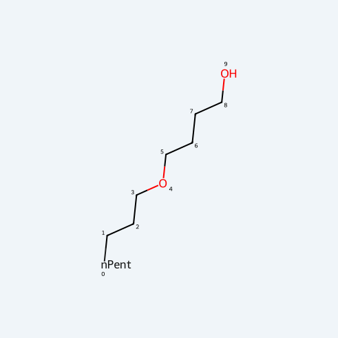 CCCCCCCCOCCCCO